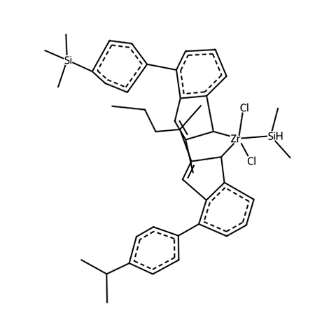 CCCC(C)C1=Cc2c(-c3ccc(C(C)C)cc3)cccc2[CH]1[Zr]([Cl])([Cl])([CH]1C(C)=Cc2c(-c3ccc([Si](C)(C)C)cc3)cccc21)[SiH](C)C